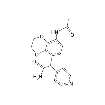 CC(=O)Nc1ccc(C(C(N)=O)c2ccncc2)c2c1OCCO2